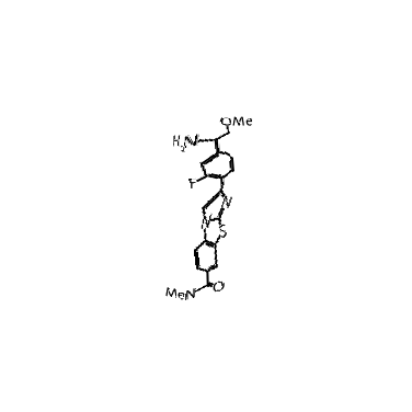 CNC(=O)c1ccc2c(c1)sc1nc(-c3ccc(C(N)COC)cc3F)cn12